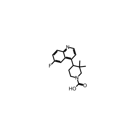 CC1(C)CN(C(=O)O)CCC1c1ccnc2ccc(F)cc12